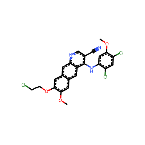 COc1cc(Nc2c(C#N)cnc3cc4cc(OCCCl)c(OC)cc4cc23)c(Cl)cc1Cl